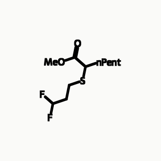 CCCCCC(SCCC(F)F)C(=O)OC